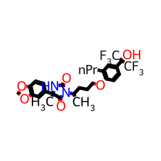 CCCc1cc(C(O)(C(F)(F)F)C(F)(F)F)ccc1OCCCC(C)N1C(=O)NC(C)(c2ccc3c(c2)OCO3)C1=O